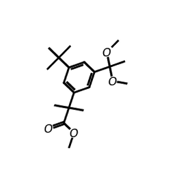 COC(=O)C(C)(C)c1cc(C(C)(C)C)cc(C(C)(OC)OC)c1